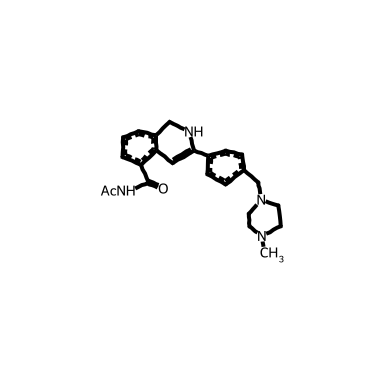 CC(=O)NC(=O)c1cccc2c1C=C(c1ccc(CN3CCN(C)CC3)cc1)NC2